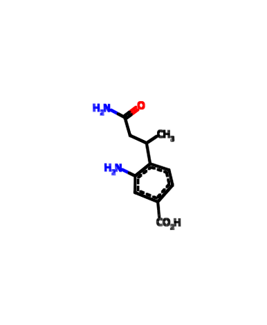 CC(CC(N)=O)c1ccc(C(=O)O)cc1N